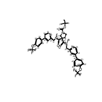 CC(C)(C)OC(=O)N1CCC(C(=O)N(F)Cc2cc(-c3ccc(OC(F)(F)F)cc3)ccn2)(C(=O)N(F)Cc2cc(-c3ccc(OC(F)(F)F)cc3)ccn2)C1